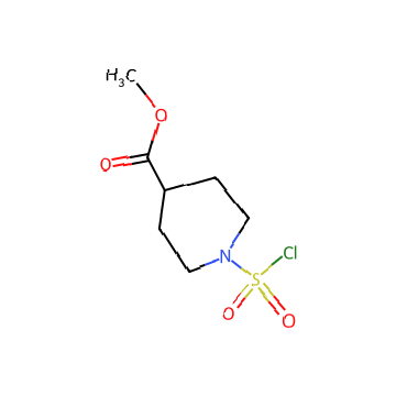 COC(=O)C1CCN(S(=O)(=O)Cl)CC1